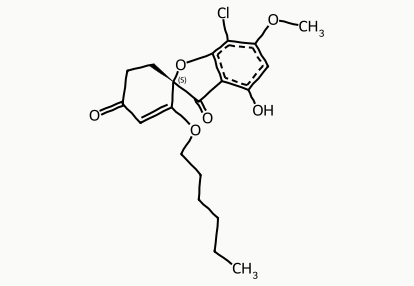 CCCCCCOC1=CC(=O)CC[C@]12Oc1c(Cl)c(OC)cc(O)c1C2=O